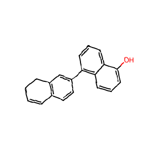 Oc1cccc2c(-c3ccc4c(c3)CCC=C4)cccc12